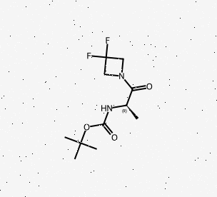 C[C@@H](NC(=O)OC(C)(C)C)C(=O)N1CC(F)(F)C1